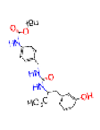 CC(C)(C)OC(=O)Nc1ccc(CNC(=O)NC(Cc2cccc(O)c2)C(=O)O)cc1